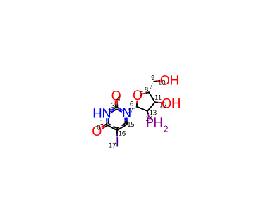 O=c1[nH]c(=O)n([C@@H]2O[C@H](CO)C(O)C2P)cc1I